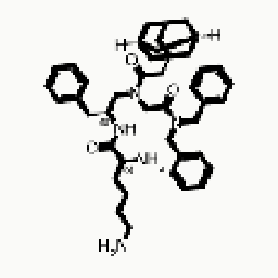 NCCCC[C@H](N)C(=O)N[C@@H](Cc1ccccc1)CN(CC(=O)N(Cc1ccccc1)Cc1ccccc1)C(=O)C[C@]12CC3C[C@H](C[C@H](C3)C1)C2